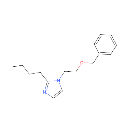 CCCCc1nccn1CCOCc1ccccc1